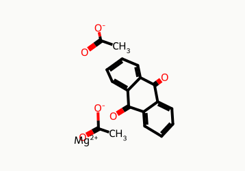 CC(=O)[O-].CC(=O)[O-].O=C1c2ccccc2C(=O)c2ccccc21.[Mg+2]